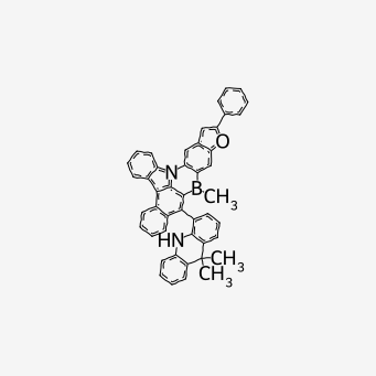 CB1c2cc3oc(-c4ccccc4)cc3cc2-n2c3ccccc3c3c4ccccc4c(-c4cccc5c4Nc4ccccc4C5(C)C)c1c32